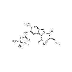 C/C=C(\C#N)C(=O)c1cc2cc(C)c(NC(=O)OC(C)(C)C)cc2n1SI